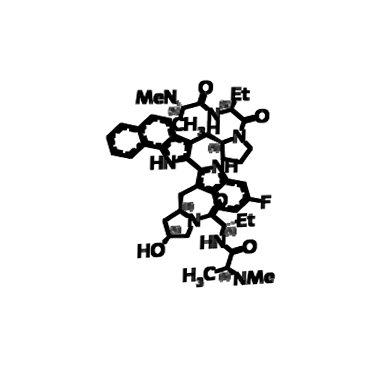 CC[C@H](NC(=O)[C@H](C)NC)C(=O)N1CCC[C@H]1Cc1c(-c2[nH]c3cc(F)ccc3c2C[C@@H]2C[C@H](O)CN2C(=O)[C@H](CC)NC(=O)[C@H](C)NC)[nH]c2c1ccc1ccccc12